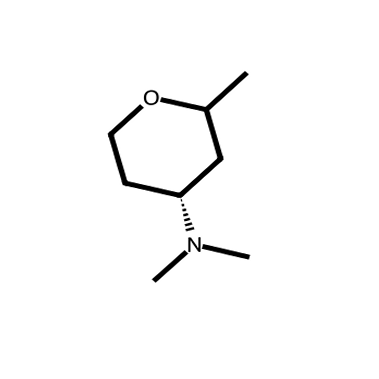 CC1C[C@H](N(C)C)CCO1